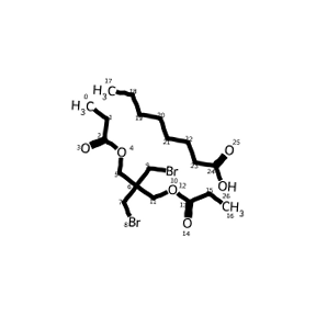 CCC(=O)OCC(CBr)(CBr)COC(=O)CC.CCCCCCCC(=O)O